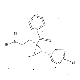 CCN(CC)CC[C@@]1(C(=O)c2ccccc2)C(C)[C@H]1c1ccc(Cl)cc1